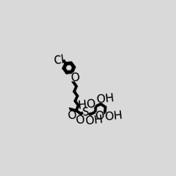 O=C(SC(O)C1OC(O)CC(O)C1O)C1(CCCCCCOc2ccc(Cl)cc2)CO1